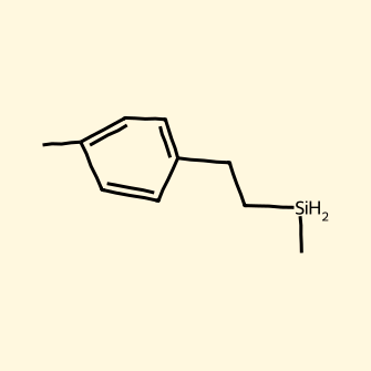 C[SiH2]CCc1ccc(C)cc1